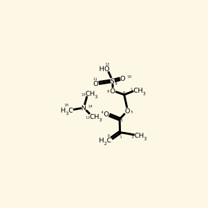 C=C(C)C(=O)OC(C)OS(=O)(=O)O.CN(C)C